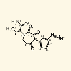 CCC(C(N)=O)N1CCC(=O)C(c2cccc(N=[N+]=[N-])c2)C(=O)C1=O